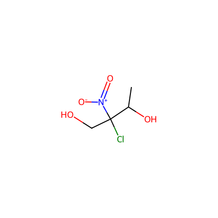 CC(O)C(Cl)(CO)[N+](=O)[O-]